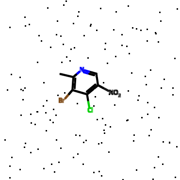 Cc1ncc([N+](=O)[O-])c(Cl)c1Br